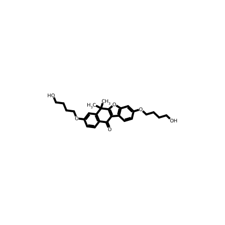 CC1(C)c2cc(OCCCCO)ccc2C(=O)c2c1oc1cc(OCCCCO)ccc21